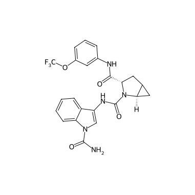 NC(=O)n1cc(NC(=O)N2[C@@H]3CC3C[C@H]2C(=O)Nc2cccc(OC(F)(F)F)c2)c2ccccc21